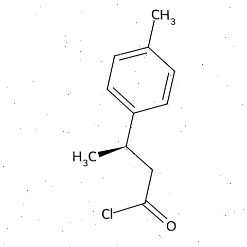 Cc1ccc([C@H](C)CC(=O)Cl)cc1